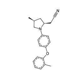 Cc1ccccc1Oc1ccc(N2C[C@@H](C)C[C@H]2CC#N)cc1